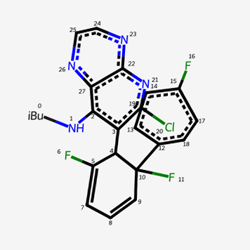 CCC(C)Nc1c(C2C(F)=CC=CC2(F)c2ccc(F)cc2)c(Cl)nc2nccnc12